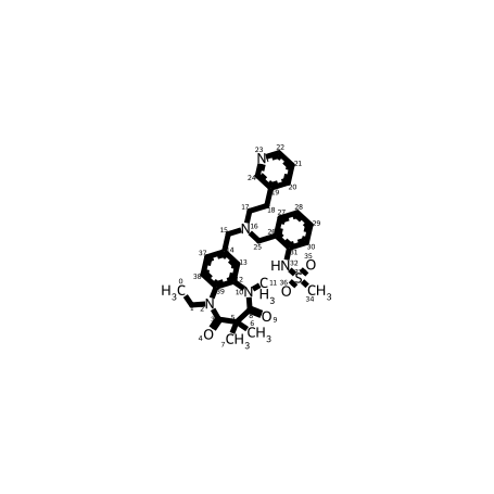 CCN1C(=O)C(C)(C)C(=O)N(C)c2cc(CN(CCc3cccnc3)Cc3ccccc3NS(C)(=O)=O)ccc21